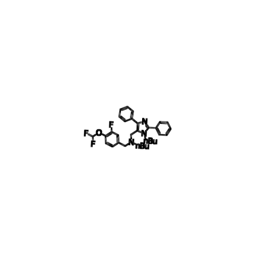 CCCCN(Cc1ccc(OC(F)F)c(F)c1)Cc1c(-c2ccccc2)nc(-c2ccccc2)n1CCCC